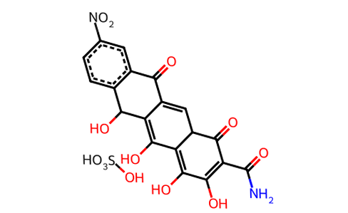 NC(=O)C1=C(O)C(O)=C2C(O)=C3C(=CC2C1=O)C(=O)c1cc([N+](=O)[O-])ccc1C3O.O=S(=O)(O)O